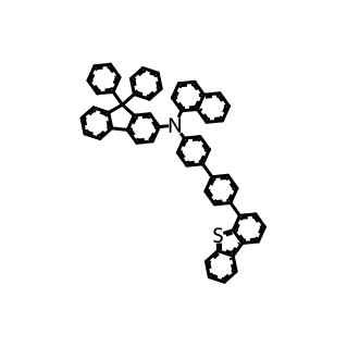 c1ccc(C2(c3ccccc3)c3ccccc3-c3ccc(N(c4ccc(-c5ccc(-c6cccc7c6sc6ccccc67)cc5)cc4)c4cccc5ccccc45)cc32)cc1